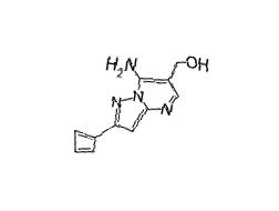 Nc1c(CO)cnc2cc(C3=CC=C3)nn12